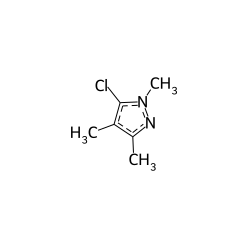 Cc1nn(C)c(Cl)c1C